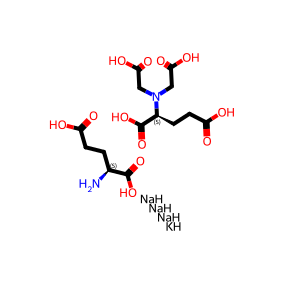 N[C@@H](CCC(=O)O)C(=O)O.O=C(O)CC[C@@H](C(=O)O)N(CC(=O)O)CC(=O)O.[KH].[NaH].[NaH].[NaH]